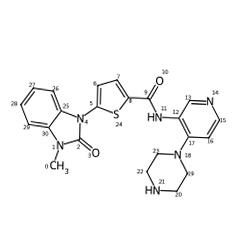 Cn1c(=O)n(-c2ccc(C(=O)Nc3cnccc3N3CCNCC3)s2)c2ccccc21